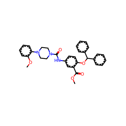 COC(=O)c1cc(NC(=O)N2CCN(c3ccccc3OC)CC2)ccc1OC(c1ccccc1)c1ccccc1